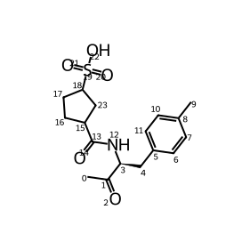 CC(=O)[C@H](Cc1ccc(C)cc1)NC(=O)C1CCC(S(=O)(=O)O)C1